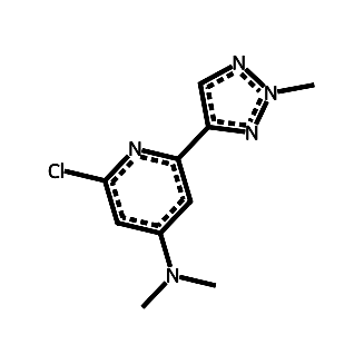 CN(C)c1cc(Cl)nc(-c2cnn(C)n2)c1